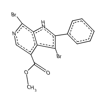 COC(=O)c1cnc(Br)c2[nH]c(-c3ccccc3)c(Br)c12